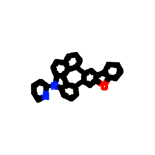 c1ccc(-n2c3cccc4c3c3c5c(cccc5ccc32)-c2cc3c(cc2-4)oc2ccccc23)nc1